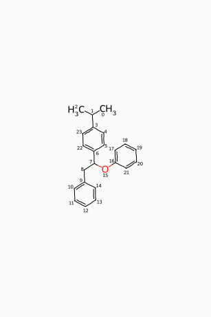 CC(C)c1ccc(C(Cc2ccccc2)Oc2ccccc2)cc1